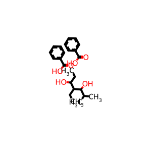 CCC(O)C(CC)C(O)C(C)C.O=C(O)c1ccccc1.O=C(O)c1ccccc1